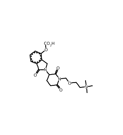 C[Si](C)(C)CCOCN1C(=O)CCC(N2Cc3c(OC(=O)O)cccc3C2=O)C1=O